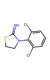 N=C1SCCN1c1c(Cl)cccc1Cl